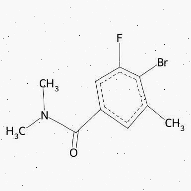 Cc1cc(C(=O)N(C)C)cc(F)c1Br